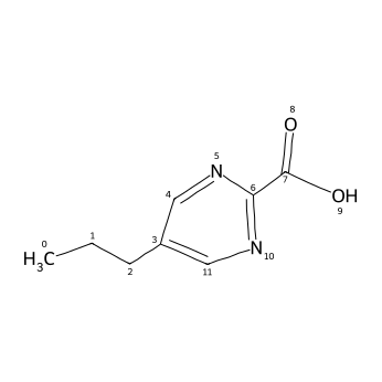 CCCc1cnc(C(=O)O)nc1